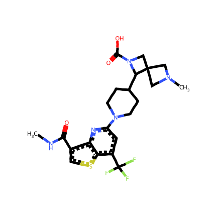 CNC(=O)c1csc2c(C(F)(F)F)cc(N3CCC(C4N(C(=O)O)CC45CN(C)C5)CC3)nc12